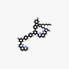 CCCCCCCCC1(CCCCCCCC)c2cc(C)ccc2-c2ccc(-c3cc(-c4ccc(-c5ccc(-c6cc(C)cc(-c7ccc8ccc9cccnc9c8n7)c6)cc5)cc4)cc(-c4ccc5ccc6cccnc6c5n4)c3)cc21